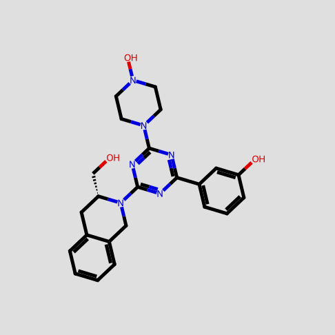 OC[C@H]1Cc2ccccc2CN1c1nc(-c2cccc(O)c2)nc(N2CCN(O)CC2)n1